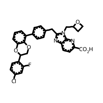 O=C(O)c1ccc2nc(Cc3ccc(-c4cccc5c4OCC(c4ccc(Cl)cc4F)O5)cc3)n(CC3CCO3)c2n1